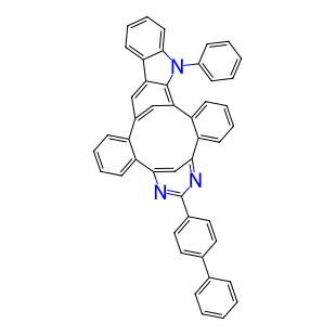 c1ccc(-c2ccc(-c3nc4cc(n3)c3ccccc3c3cc(cc5c6ccccc6n(-c6ccccc6)c35)c3ccccc43)cc2)cc1